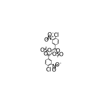 CS(=O)(=O)O[C@@H](CC[C@H](OS(C)(=O)=O)c1ccc(Cl)c([N+](=O)[O-])c1)c1ccc(Cl)c([N+](=O)[O-])c1